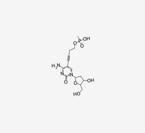 CP(=O)(O)OCCC#Cc1cn(C2CC(O)C(CO)O2)c(=O)nc1N